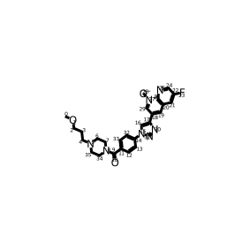 COCCCN1CCN(C(=O)c2ccc(-n3cc(-c4cc5cc(F)cnc5[n+]([O-])c4)nn3)cc2)CC1